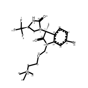 C[C@@]1(N2C[C@@H](C(F)(F)F)NC2=O)C(=O)N(COCC[Si](C)(C)C)c2cc(Br)ccc21